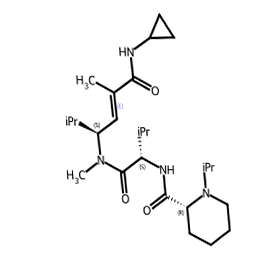 C/C(=C\[C@H](C(C)C)N(C)C(=O)[C@@H](NC(=O)[C@H]1CCCCN1C(C)C)C(C)C)C(=O)NC1CC1